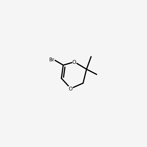 CC1(C)COC=C(Br)O1